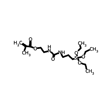 C=C(C)C(=O)OCCNC(=O)NCCC[Si](OCC)(OCC)OCC